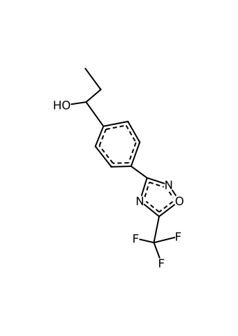 CCC(O)c1ccc(-c2noc(C(F)(F)F)n2)cc1